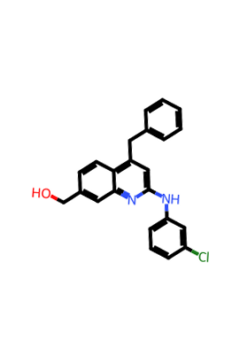 OCc1ccc2c(Cc3ccccc3)cc(Nc3cccc(Cl)c3)nc2c1